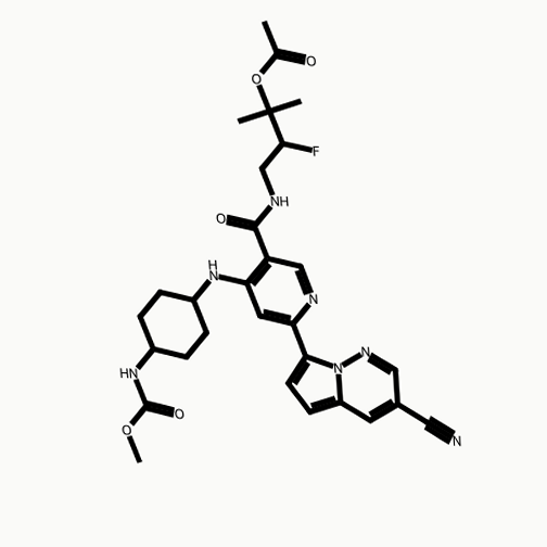 COC(=O)NC1CCC(Nc2cc(-c3ccc4cc(C#N)cnn34)ncc2C(=O)NCC(F)C(C)(C)OC(C)=O)CC1